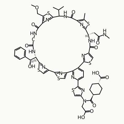 CNC(=O)C[C@@H]1NC(=O)c2csc(n2)-c2ccc(-c3nc(N(CC(=O)O)C(=O)[C@H]4CC[C@H](C(=O)O)CC4)cs3)nc2-c2csc(n2)-c2csc(n2)[C@H]([C@@H](O)c2ccccc2)NC(=O)CNC(=O)c2nc(sc2COC)C(C(C)C)NC(=O)c2nc1sc2C